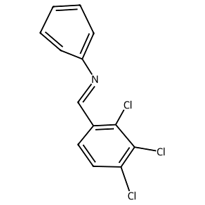 Clc1ccc(C=Nc2ccccc2)c(Cl)c1Cl